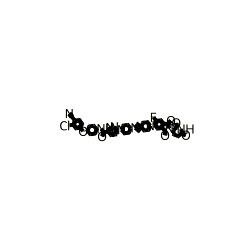 N#Cc1ccc(O[C@H]2CC[C@H](NC(=O)c3ccc(N4CCC(N5CC6(CCN(c7cc8c(cc7F)C(=O)N(C7CCC(=O)NC7=O)C8=O)CC6)C5)CC4)nn3)CC2)cc1Cl